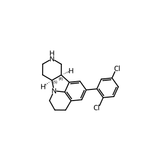 Clc1ccc(Cl)c(-c2cc3c4c(c2)[C@@H]2CNCC[C@@H]2N4CCC3)c1